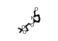 CC1(C)OCC(COc2cccc(C=O)n2)O1